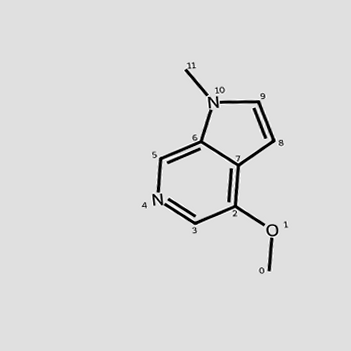 COc1cncc2c1ccn2C